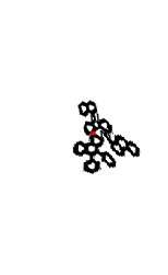 c1ccc(-c2c(-c3ccccc3)c3cc(N(c4cccc5c4ccc4ccccc45)c4cccc5c4c4ccccc4n5-c4cccc5ccccc45)ccc3c3ccccc23)cc1